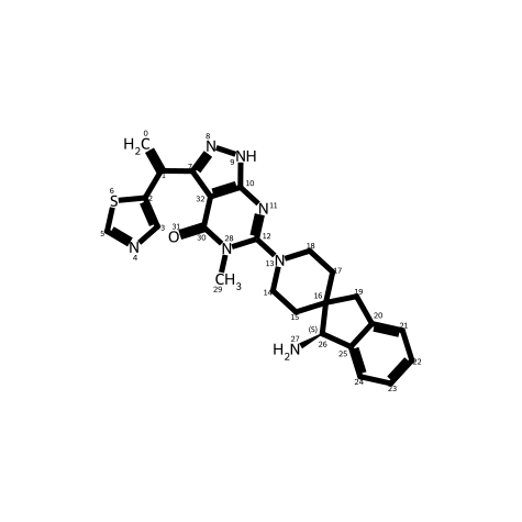 C=C(c1cncs1)c1n[nH]c2nc(N3CCC4(CC3)Cc3ccccc3[C@H]4N)n(C)c(=O)c12